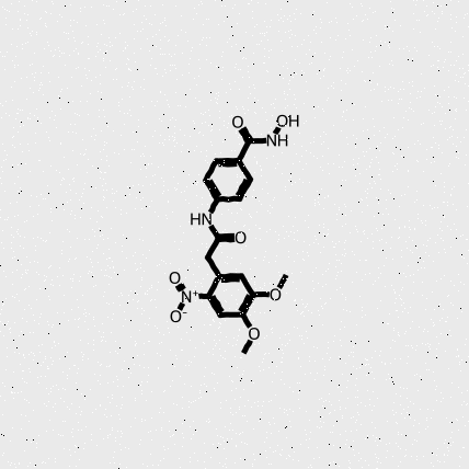 COc1cc(CC(=O)Nc2ccc(C(=O)NO)cc2)c([N+](=O)[O-])cc1OC